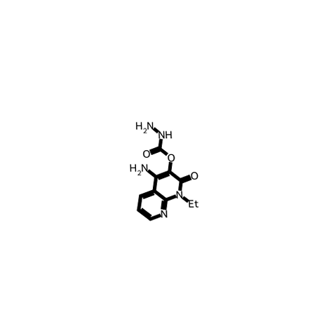 CCn1c(=O)c(OC(=O)NN)c(N)c2cccnc21